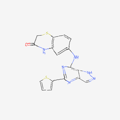 O=C1CSc2ccc(Nc3nc(-c4cccs4)nc4cn[nH]c34)cc2N1